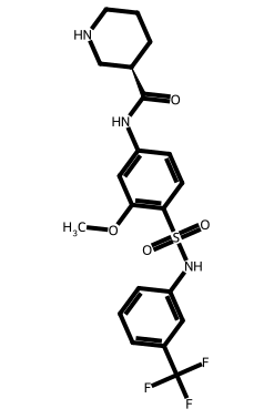 COc1cc(NC(=O)[C@@H]2CCCNC2)ccc1S(=O)(=O)Nc1cccc(C(F)(F)F)c1